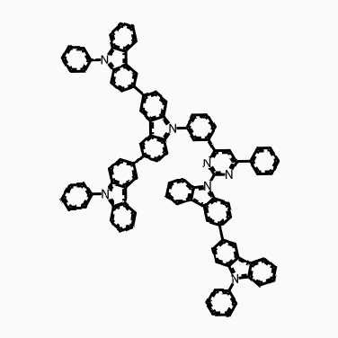 c1ccc(-c2cc(-c3cccc(-n4c5ccc(-c6ccc7c(c6)c6ccccc6n7-c6ccccc6)cc5c5cc(-c6ccc7c(c6)c6ccccc6n7-c6ccccc6)ccc54)c3)nc(-n3c4ccccc4c4cc(-c5ccc6c(c5)c5ccccc5n6-c5ccccc5)ccc43)n2)cc1